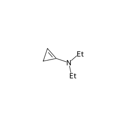 CCN(CC)C1=CC1